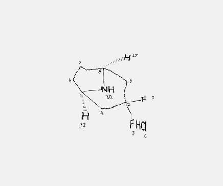 Cl.FC1(F)C[C@H]2CC[C@@H](C1)N2